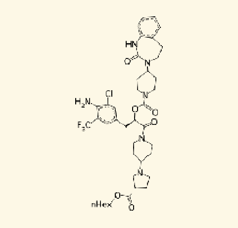 CCCCCCOC(=O)[C@H]1CCN(C2CCN(C(=O)[C@@H](Cc3cc(Cl)c(N)c(C(F)(F)F)c3)OC(=O)N3CCC(N4CCc5ccccc5NC4=O)CC3)CC2)C1